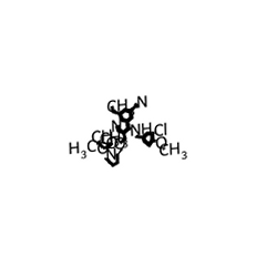 CCc1cc(C#N)cc2c(NCc3ccc(OC)c(Cl)c3)c(COC[C@H]3CCCN3C(=O)OC(C)(C)C)cnc12